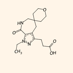 CCn1nc(CCC(=O)O)c2c1C(=O)NCC1(CCOCC1)C2